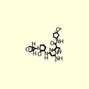 CNc1cc(Nc2cccn(C3[C@H]4COC[C@@H]34)c2=O)nc2c(C(=O)N[C@H]3CC[C@H](OC)C3)cnn12